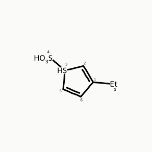 CCC1=C[SH](S(=O)(=O)O)C=C1